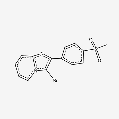 CS(=O)(=O)c1ccc(-c2nc3ccccn3c2Br)cc1